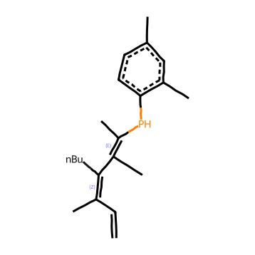 C=C/C(C)=C(CCCC)\C(C)=C(/C)Pc1ccc(C)cc1C